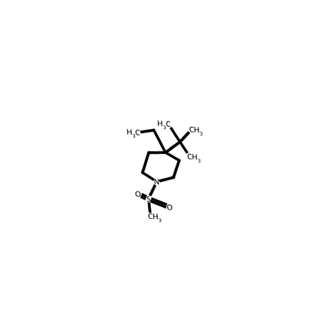 CCC1(C(C)(C)C)CCN(S(C)(=O)=O)CC1